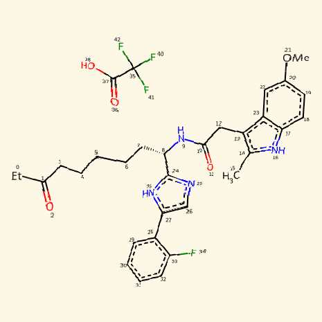 CCC(=O)CCCCC[C@H](NC(=O)Cc1c(C)[nH]c2ccc(OC)cc12)c1ncc(-c2ccccc2F)[nH]1.O=C(O)C(F)(F)F